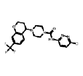 O=C(Nc1ccc(Cl)nn1)N1CCN(C2CCOc3cc(C(F)(F)F)ccc32)CC1